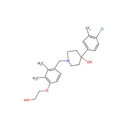 Cc1c(CN2CCC(O)(c3ccc(Cl)c(C(F)(F)F)c3)CC2)ccc(OCCO)c1C